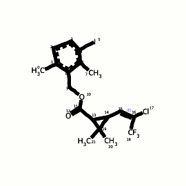 Cc1ccc(I)c(C)c1COC(=O)C1C(/C=C(/Cl)C(F)(F)F)C1(C)C